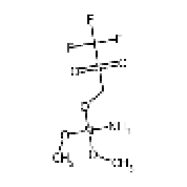 CO[Si](N)(OC)OCS(=O)(=O)C(F)(F)F